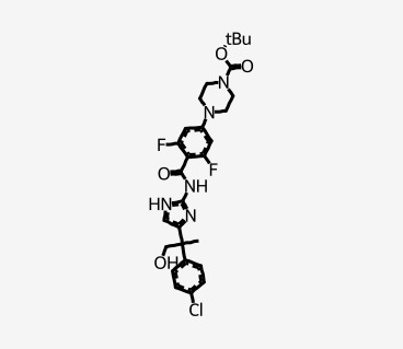 CC(C)(C)OC(=O)N1CCN(c2cc(F)c(C(=O)Nc3nc(C(C)(CO)c4ccc(Cl)cc4)c[nH]3)c(F)c2)CC1